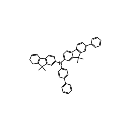 CC1(C)C2=C(C=CCC2)c2ccc(N(c3ccc(-c4ccccc4)cc3)c3ccc4c(c3)C(C)(C)c3cc(-c5ccccc5)ccc3-4)cc21